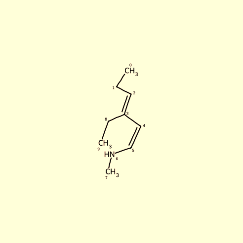 CC/C=C(/C=C\NC)CC